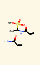 C=CC(=O)NC(C(C)C)S(=O)(=O)[O-].C=CC(N)=O.[Na+]